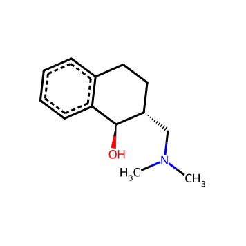 CN(C)C[C@H]1CCc2ccccc2[C@@H]1O